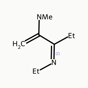 C=C(NC)/C(CC)=N\CC